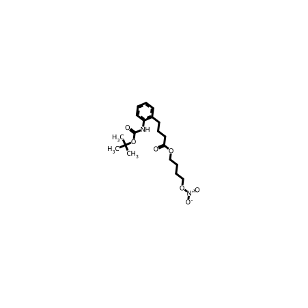 CC(C)(C)OC(=O)Nc1ccccc1CCCC(=O)OCCCCO[N+](=O)[O-]